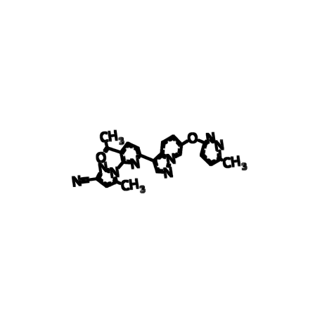 CC(=O)c1ccc(-c2cnn3cc(Oc4ccc(C)nn4)ccc23)nc1-n1nc(C#N)cc1C